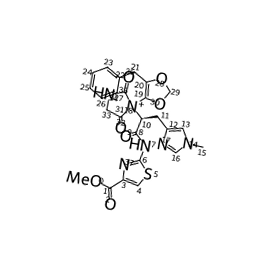 COC(=O)c1csc(NC(=O)[C@H](Cc2cn(C)cn2)[N+]2(C3=C(Cc4ccccc4)OCO3)C(=O)CNC2=O)n1